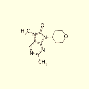 Cc1ncc2c(n1)n(C1CCOCC1)c(=O)n2C